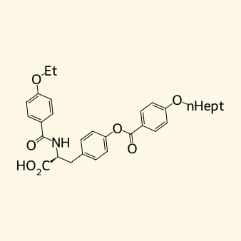 CCCCCCCOc1ccc(C(=O)Oc2ccc(C[C@H](NC(=O)c3ccc(OCC)cc3)C(=O)O)cc2)cc1